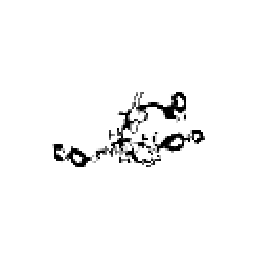 C[C@@H](NC(=O)Cc1c[nH]c2ccccc12)C(=O)NC(CNCOc1ccc(-n2cccc2)cc1)(COCNc1ccc(-n2cccc2)cc1)NCCS